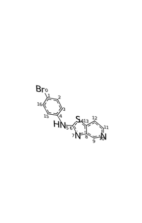 Brc1ccc(Nc2nc3cnccc3s2)cc1